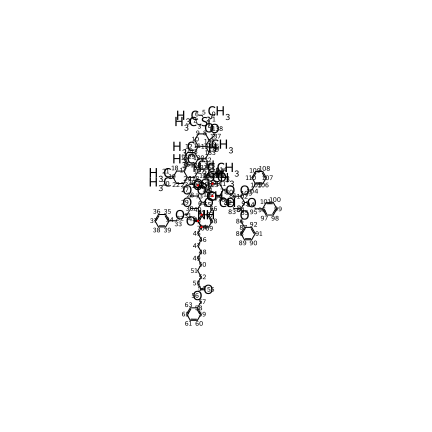 CC[Si](CC)(CC)O[C@H]1CCC2(C)C3CC=C4C5CC(C)(C)CC[C@]5(C(=O)O[C@@H]5O[C@H](COCc6ccccc6)[C@H](NC(=O)CCCCCCCCCCC(=O)OCc6ccccc6)C(OCc6ccccc6)C5O[C@@H]5O[C@H](C)[C@H](O[C@@H]6OC[C@@H](OCc7ccccc7)C(OCc7ccccc7)C6OCc6ccccc6)C6OC(C)(C)OC65)[C@@H](O[Si](CC)(CC)CC)C[C@@]4(C)C3(C)CC[C@H]2[C@@]1(C)C=O